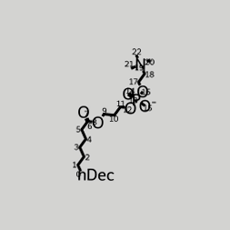 CCCCCCCCCCCCCCCC(=O)OCCCOP(=O)([O-])OCC[N+](C)(C)C